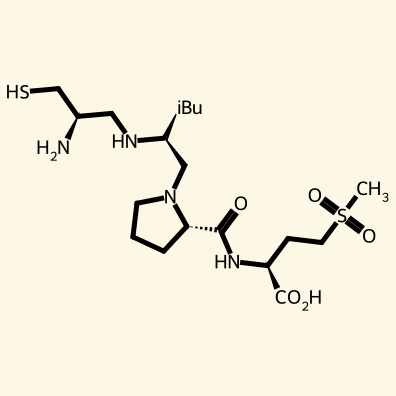 CC[C@H](C)[C@@H](CN1CCC[C@H]1C(=O)N[C@@H](CCS(C)(=O)=O)C(=O)O)NC[C@@H](N)CS